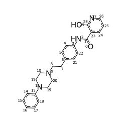 O=C(Nc1ccc(CCN2CCN(c3ccccc3)CC2)cc1)c1cccnc1O